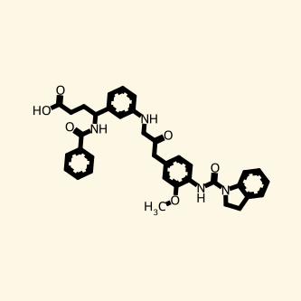 COc1cc(CC(=O)CNc2cccc(C(CCC(=O)O)NC(=O)c3ccccc3)c2)ccc1NC(=O)N1CCc2ccccc21